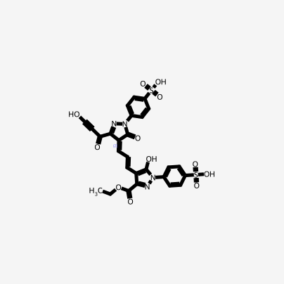 CCOC(=O)c1nn(-c2ccc(S(=O)(=O)O)cc2)c(O)c1C=C/C=C1\C(=O)N(c2ccc(S(=O)(=O)O)cc2)N=C1C(=O)C#CO